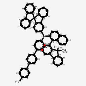 CC(C)(C)c1ccc(-c2ccc(-c3ccc(N(c4ccc5c(c4)-c4ccccc4C54c5ccccc5-c5ccccc54)c4ccc5ccccc5c4-c4cccc5c4C(C)(C)c4ccccc4-5)cc3)cc2)cc1